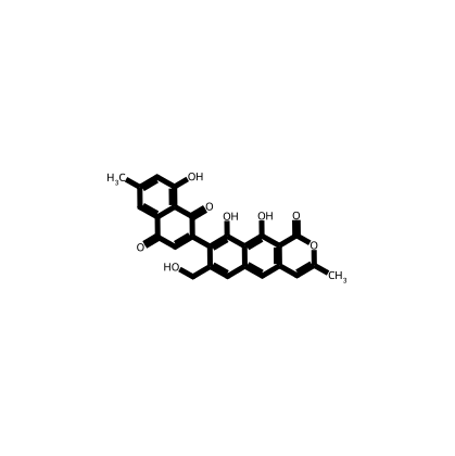 Cc1cc(O)c2c(c1)C(=O)C=C(c1c(CO)cc3cc4cc(C)oc(=O)c4c(O)c3c1O)C2=O